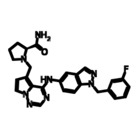 NC(=O)[C@@H]1CCCN1Cc1ccn2ncnc(Nc3ccc4c(cnn4Cc4cccc(F)c4)c3)c12